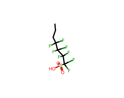 CCCC(F)(F)C(F)(F)C(F)(F)C(F)(F)S(=O)(=O)O